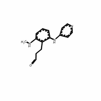 CNc1cccc(Nc2ccncc2)c1CCC=O